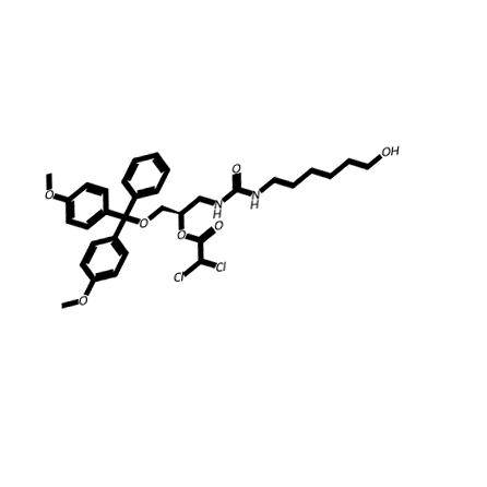 COc1ccc(C(OC[C@@H](CNC(=O)NCCCCCCO)OC(=O)C(Cl)Cl)(c2ccccc2)c2ccc(OC)cc2)cc1